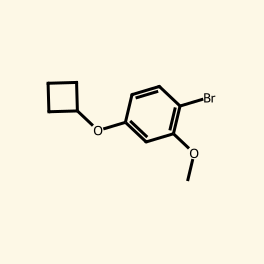 COc1cc(OC2CCC2)ccc1Br